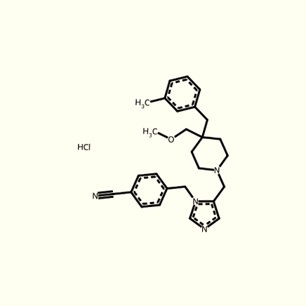 COCC1(Cc2cccc(C)c2)CCN(Cc2cncn2Cc2ccc(C#N)cc2)CC1.Cl